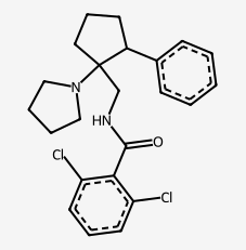 O=C(NCC1(N2CCCC2)CCCC1c1ccccc1)c1c(Cl)cccc1Cl